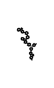 Cc1ccc(N(c2ccc(-c3ccc4c(c3)C(C)(C)c3cc(C)ccc3-4)cc2)c2ccc(-c3ccc4c5ccccc5n(-c5cccc(-c6cccc(-c7ccc8c(c7)C(C)(C)c7ccccc7-8)c6)c5)c4c3)cc2)cc1